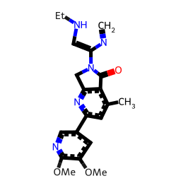 C=N/C(=C\NCC)N1Cc2nc(-c3cnc(OC)c(OC)c3)cc(C)c2C1=O